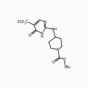 CCOC(=O)c1cnc(NC2CCN(C(=O)OC(C)(C)C)CC2)[nH]c1=O